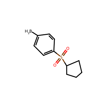 Bc1ccc(S(=O)(=O)C2CCCC2)cc1